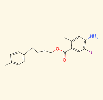 Cc1ccc(CCCCOC(=O)c2cc(I)c(N)cc2C)cc1